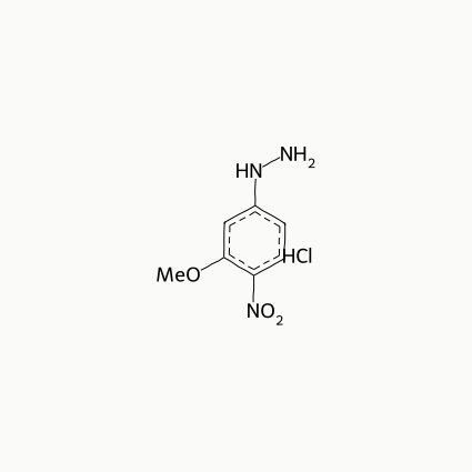 COc1cc(NN)ccc1[N+](=O)[O-].Cl